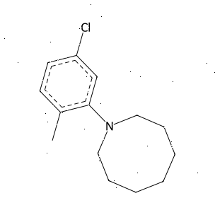 Cc1ccc(Cl)cc1N1CCCCCCC1